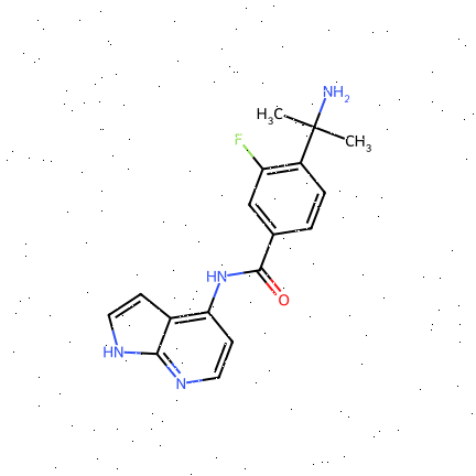 CC(C)(N)c1ccc(C(=O)Nc2ccnc3[nH]ccc23)cc1F